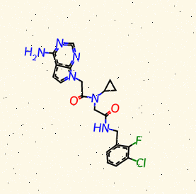 Nc1ncnc2c1ccn2CC(=O)N(CC(=O)NCc1cccc(Cl)c1F)C1CC1